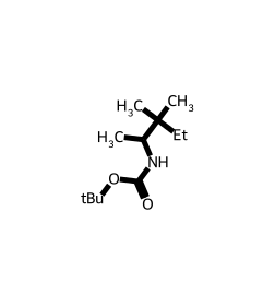 CCC(C)(C)C(C)NC(=O)OC(C)(C)C